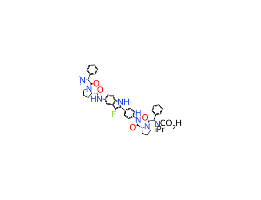 CC(C)N(C(=O)O)[C@@H](C(=O)N1CCC[C@H]1C(=O)Nc1ccc(-c2[nH]c3ccc(NC(=O)[C@@H]4CCCN4C(=O)[C@@H](c4ccccc4)N(C)C)cc3c2F)cc1)c1ccccc1